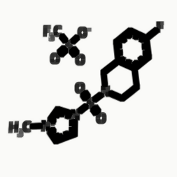 C[n+]1ccn(S(=O)(=O)N2CCc3cc(F)ccc3C2)c1.O=S(=O)([O-])C(F)(F)F